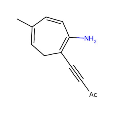 CC(=O)C#CC1=C(N)C=CC(C)=CC1